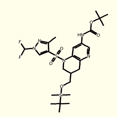 Cc1nn(C(F)F)cc1S(=O)(=O)N1CC(CO[Si](C)(C)C(C)(C)C)Cc2ncc(NC(=O)OC(C)(C)C)cc21